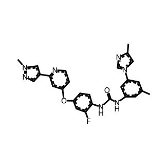 Cc1cc(NC(=O)Nc2ccc(Oc3ccnc(-c4cnn(C)c4)c3)cc2F)cc(-n2cnc(C)c2)c1